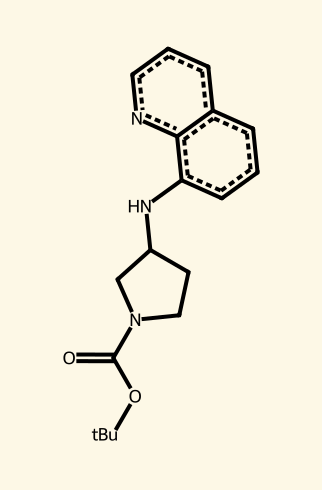 CC(C)(C)OC(=O)N1CCC(Nc2cccc3cccnc23)C1